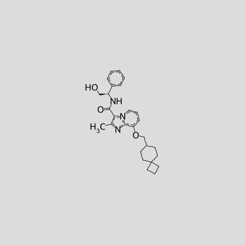 Cc1nc2c(OCC3CCC4(CCC4)CC3)cccn2c1C(=O)N[C@@H](CO)c1ccccc1